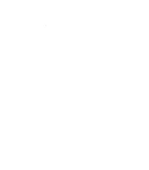 C1CC1.c1ccc(-c2ccccc2)cc1